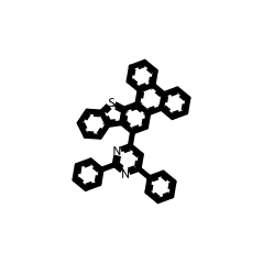 c1ccc(-c2cc(-c3cc4c5ccccc5c5ccccc5c4c4sc5ccccc5c34)nc(-c3ccccc3)n2)cc1